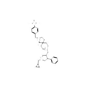 CS(=O)(=O)c1ccc(CN2CCC3(CCN(CC4CN(CC5CC5)CC4c4ccccc4)CC3)C2=O)cc1